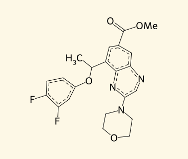 COC(=O)c1cc(C(C)Oc2ccc(F)c(F)c2)c2nc(N3CCOCC3)cnc2c1